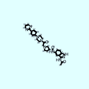 CC(=O)Nc1n[nH]c2ccc(NC(=O)[C@@H]3CCN(CC(=O)N4CCN(c5ccc(-c6ncccn6)cc5)CC4)C3)cc12